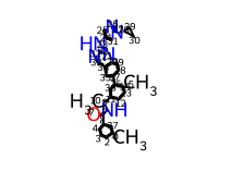 Cc1cccc(C(=O)NC(C)c2ccc(C)c(-c3ccc4nc(Nc5cnn(C6CC6)c5)ncc4c3)c2)c1